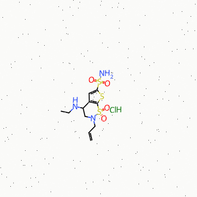 C=CCN1CC(NCC)c2cc(S(N)(=O)=O)sc2S1(=O)=O.Cl